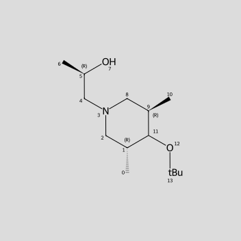 C[C@@H]1CN(C[C@@H](C)O)C[C@@H](C)C1OC(C)(C)C